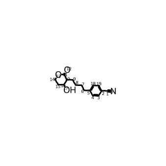 N#Cc1ccc(CCCCC2C(=O)OCCC2O)cc1